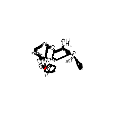 Cc1cc(S(=O)(=O)C2CC2)ccc1Oc1ncnc(OC2CC3CC[C@@H](C2)N3C(=O)OC(C)C)c1C